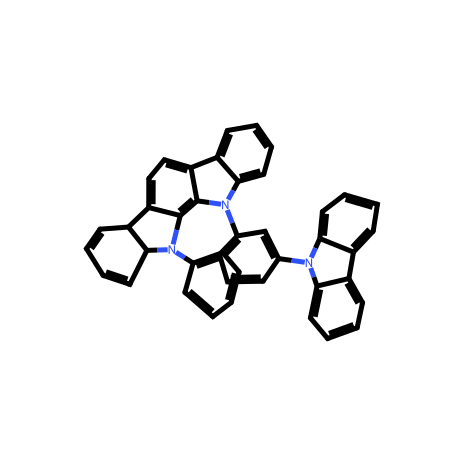 C1=CC2c3ccc4c5ccccc5n(-c5cccc(-n6c7ccccc7c7ccccc76)c5)c4c3N(c3ccccc3)C2C=C1